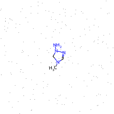 CN1C=NN(N)C1